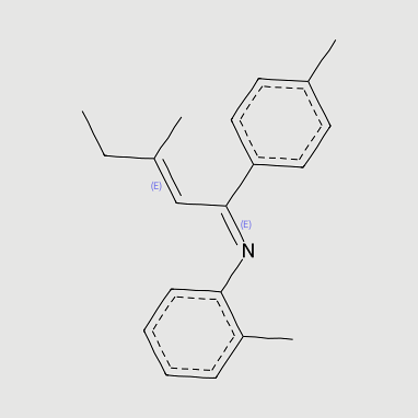 CC/C(C)=C/C(=N\c1ccccc1C)c1ccc(C)cc1